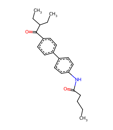 CCCCC(=O)Nc1ccc(-c2ccc(C(=O)C(CC)CC)cc2)cc1